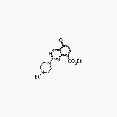 CCOC(=O)n1ccc(=O)c2cnc(N3CCN(CC)CC3)nc21